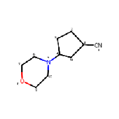 N#CC1CCC(N2CCOCC2)C1